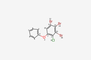 Clc1c(Oc2ccccc2)cc(Br)c(Br)c1Br